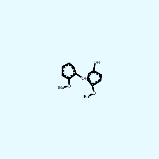 CC(C)(C)Oc1ccc(O)cc1.CC(C)(C)Oc1ccccc1O